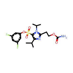 CC(C)c1nc(CCOC(N)=O)n(C(C)C)c1S(=O)(=O)Oc1cc(F)cc(F)c1